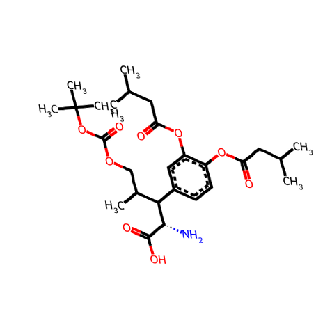 CC(C)CC(=O)Oc1ccc(C(C(C)COC(=O)OC(C)(C)C)[C@H](N)C(=O)O)cc1OC(=O)CC(C)C